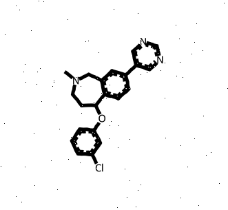 CN1CCC(Oc2cccc(Cl)c2)c2ccc(-c3cncnc3)cc2C1